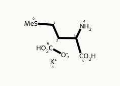 CSCCC(N)C(=O)O.O=C([O-])O.[K+]